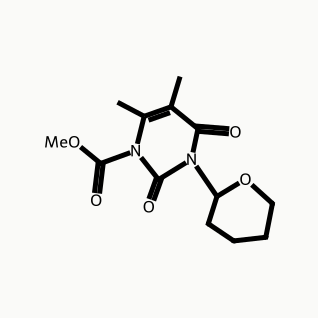 COC(=O)n1c(C)c(C)c(=O)n(C2CCCCO2)c1=O